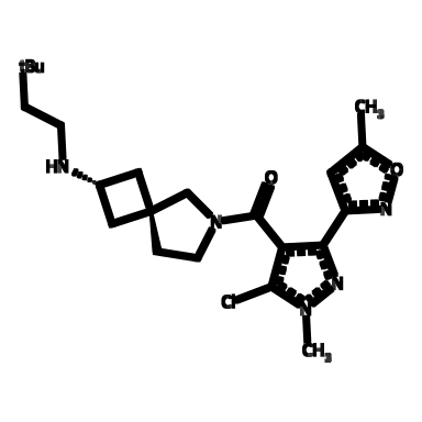 Cc1cc(-c2nn(C)c(Cl)c2C(=O)N2CC[C@]3(C2)C[C@@H](NCCC(C)(C)C)C3)no1